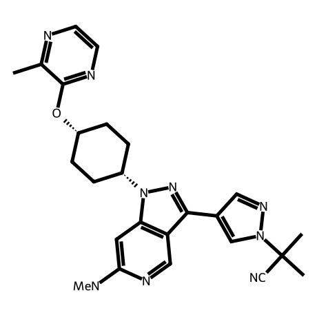 CNc1cc2c(cn1)c(-c1cnn(C(C)(C)C#N)c1)nn2[C@H]1CC[C@@H](Oc2nccnc2C)CC1